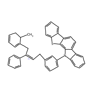 CC1CC=CC=C1C/C(=C\Cc1cccc(-n2c3ccccc3c3ccc4c5ccccc5sc4c32)c1)c1ccccc1